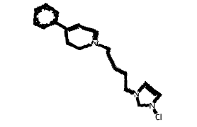 ClN1C=CN(CCCCN2CC=C(c3ccccc3)CC2)C1